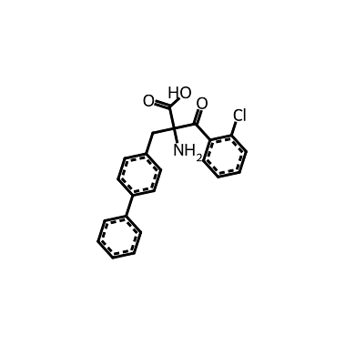 NC(Cc1ccc(-c2ccccc2)cc1)(C(=O)O)C(=O)c1ccccc1Cl